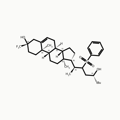 C[C@H](C(C[C@H](O)C(C)(C)C)S(=O)(=O)c1ccccc1)[C@H]1CC[C@H]2[C@@H]3CC=C4C[C@](O)(C(F)(F)F)CC[C@]4(C)[C@H]3CC[C@]12C